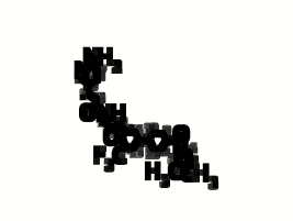 CC1(C)CCN(C(=O)c2ccc(-c3cc(C(F)(F)F)c4oc(CNC(=O)/C=C/c5ccc(N)nc5)cc4c3)cc2)C1